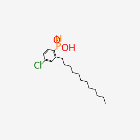 CCCCCCCCCCCCc1cc(Cl)ccc1[PH](=O)O